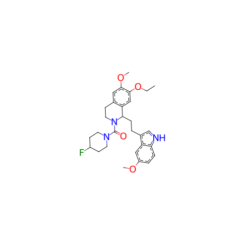 CCOc1cc2c(cc1OC)CCN(C(=O)N1CCC(F)CC1)C2CCc1c[nH]c2ccc(OC)cc12